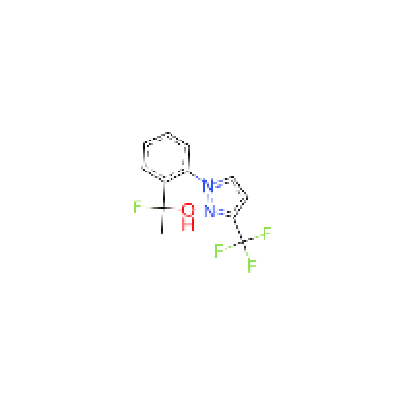 CC(O)(F)c1ccccc1-n1ccc(C(F)(F)F)n1